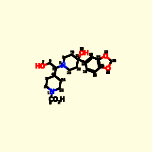 O=C(O)N1CCC(C(CO)N2CCC(O)(c3ccc4c(c3)OCO4)CC2)CC1